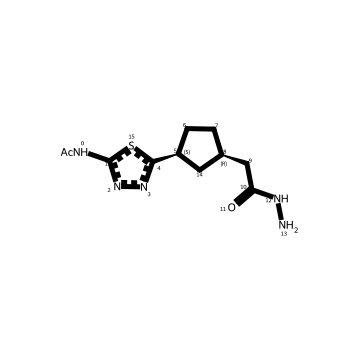 CC(=O)Nc1nnc([C@H]2CC[C@@H](CC(=O)NN)C2)s1